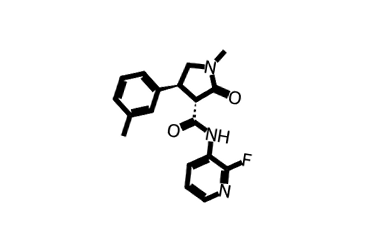 Cc1cccc([C@H]2CN(C)C(=O)[C@@H]2C(=O)Nc2cccnc2F)c1